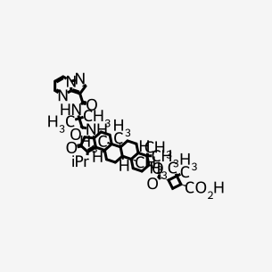 CC(C)C1=C2[C@H]3CC[C@H]4[C@]5(C)CC[C@H](OC(=O)[C@H]6C[C@@H](C(=O)O)C6(C)C)C(C)(C)[C@H]5CC[C@]4(C)[C@@]3(C)CC[C@]2(NC(=O)C(C)(C)NC(=O)c2cnn3cccnc23)CC1=O